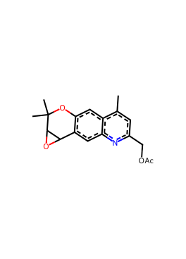 CC(=O)OCc1cc(C)c2cc3c(cc2n1)C1OC1C(C)(C)O3